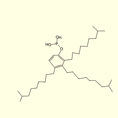 CC(C)CCCCCCCc1ccc(OP(O)O)c(CCCCCCCC(C)C)c1CCCCCCCC(C)C